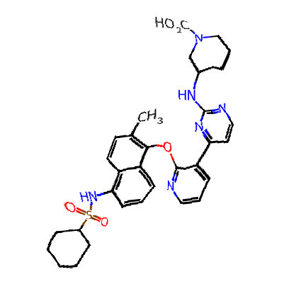 Cc1ccc2c(NS(=O)(=O)C3CCCCC3)cccc2c1Oc1ncccc1-c1ccnc(NC2CCCN(C(=O)O)C2)n1